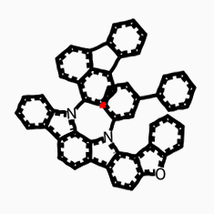 c1ccc(-c2cccc(-n3c4c(ccc5oc6ccccc6c54)c4ccc5c6ccccc6n(-c6ccc7c8c(cccc68)-c6ccccc6-7)c5c43)c2)cc1